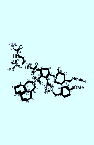 COc1ccc(Cn2nnc(-c3c(N4CCC(CN=[N+]=[N-])CC4C)ccc(S(=O)(=O)NC[C@@H](CNC(=O)OC(C)(C)C)O[Si](C)(C)C(C)(C)C)c3S(=O)(=O)N(Cc3ccccc3)Cc3ccccc3)n2)cc1